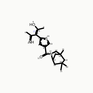 CC(=N)/C(=C(/C)O)c1cc(C(=O)N2CC3(C)CC2CC(C)(C)C3)cs1